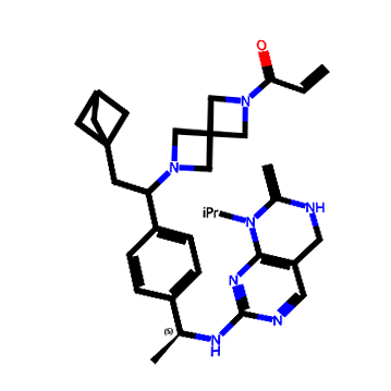 C=CC(=O)N1CC2(C1)CN(C(CC13CC(C1)C3)c1ccc([C@H](C)Nc3ncc4c(n3)N(C(C)C)C(=C)NC4)cc1)C2